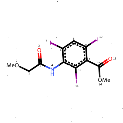 COCC(=O)Nc1c(I)cc(I)c(C(=O)OC)c1I